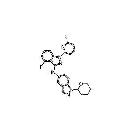 Fc1cccc2c1c(Nc1ccc3c(cnn3C3CCCCO3)c1)nn2-c1cccc(Cl)n1